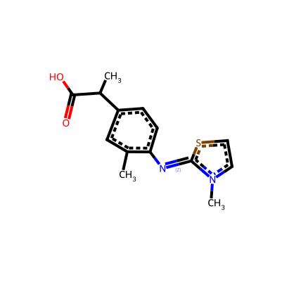 Cc1cc(C(C)C(=O)O)ccc1/N=c1\sccn1C